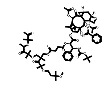 COC(C)(C)CCOC(C)(C)C(=O)C(C)(COC(=O)CCC(=O)O[C@@H](C(=O)O[C@H]1C[C@@]2(O)[C@@H](OC(=O)c3ccccc3)[C@@H]3[C@]4(OC(C)=O)CO[C@@H]4C[C@@H]4C[C@@]43C(=O)[C@H](OC(C)=O)C(=C1C)C2(C)C)[C@@H](NC(=O)OC(C)(C)C)c1ccccc1)COC(C)(C)C(=O)C(C)OC(C)(C)C(C)=O